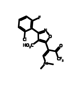 C[As](C)C=C(C(=O)C(F)(F)F)c1onc(-c2c(F)cccc2Cl)c1C(=O)O